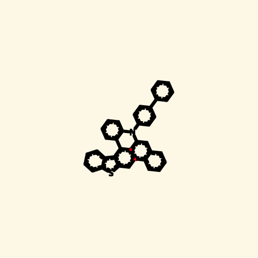 c1ccc(-c2ccc(N(c3ccc4ccccc4c3)c3ccccc3-c3cccc4sc5ccccc5c34)cc2)cc1